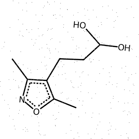 Cc1noc(C)c1CCC(O)O